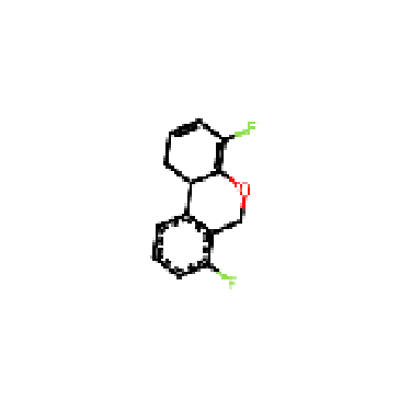 FC1=C2OCc3c(F)cccc3C2CC=C1